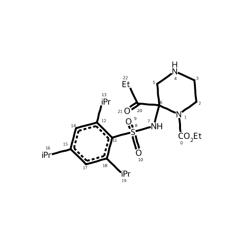 CCOC(=O)N1CCNCC1(NS(=O)(=O)c1c(C(C)C)cc(C(C)C)cc1C(C)C)C(=O)CC